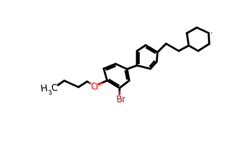 CCCCOc1ccc(-c2ccc(CCC3CC[CH]CC3)cc2)cc1Br